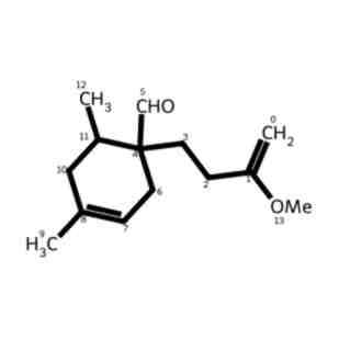 C=C(CCC1(C=O)CC=C(C)CC1C)OC